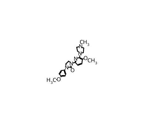 COc1ccc(N2CCN(c3ccc(OC)c(N4CCN(C)CC4)n3)C2=O)cc1